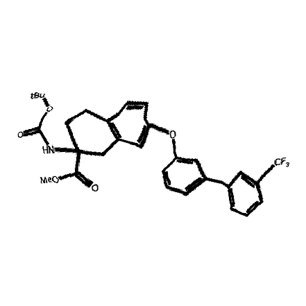 COC(=O)C1(NC(=O)OC(C)(C)C)CCc2ccc(Oc3cccc(-c4cccc(C(F)(F)F)c4)c3)cc2C1